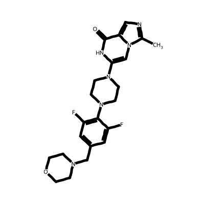 Cc1ncc2c(=O)[nH]c(N3CCN(c4c(F)cc(CN5CCOCC5)cc4F)CC3)cn12